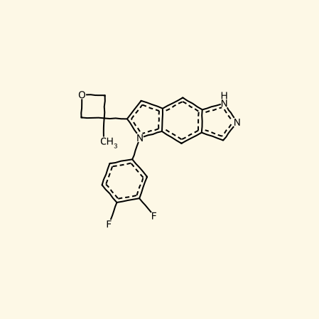 CC1(c2cc3cc4[nH]ncc4cc3n2-c2ccc(F)c(F)c2)COC1